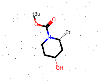 CC[C@@H]1C[C@H](O)CCN1C(=O)OC(C)(C)C